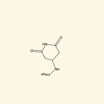 CCCCCNC1CC(=O)NC(=O)C1